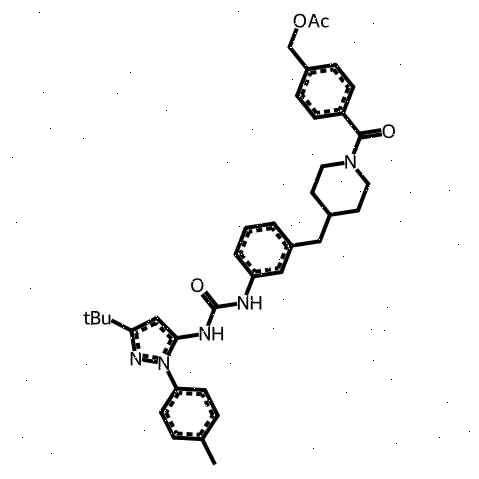 CC(=O)OCc1ccc(C(=O)N2CCC(Cc3cccc(NC(=O)Nc4cc(C(C)(C)C)nn4-c4ccc(C)cc4)c3)CC2)cc1